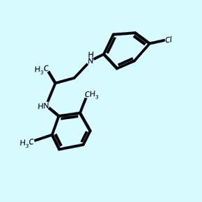 Cc1cccc(C)c1NC(C)CNc1ccc(Cl)cc1